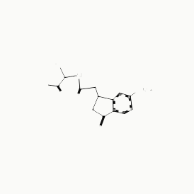 CCC(=O)C(NC(=O)CC1CC(=O)c2ccc(OC)cc21)C(C)(C)C